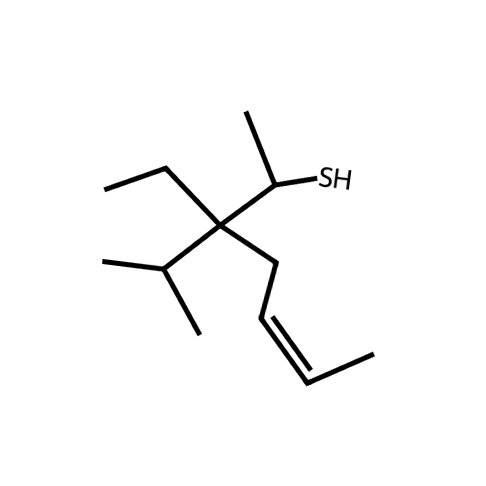 C/C=C\CC(CC)(C(C)C)C(C)S